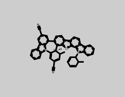 CC1C=CC=CC1n1c2ccccc2c2ccc3c4ccc5c(c4oc3c21)[C@@H]1C(=CC(C#N)=CC1C)n1c2ccccc2c2cc(C#N)cc-5c21